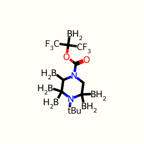 BC1N(C(=O)OC(B)(C(F)(F)F)C(F)(F)F)CC(B)(B)N(C(C)(C)C)C1(B)B